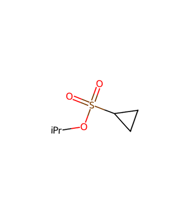 CC(C)OS(=O)(=O)C1CC1